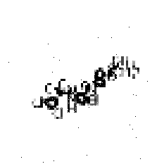 CC(C)(C)OC(=O)N1CCc2cc(NC(=O)c3cc(NC(=O)[C@H]4[C@H](c5cc(Cl)cc(Cl)c5)C4(Cl)Cl)ccc3Cl)ccc21